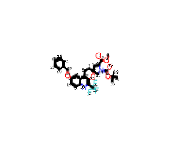 COC(=O)C1CC2(CCc3c(c(C(F)(F)F)nc4ccc(OCc5ccccc5)cc34)O2)CN1C(=O)OC(C)(C)C